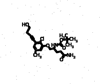 Cc1cc(C#CCCO)c(Cl)c(OCC(CCC(N)=O)NC(=O)OC(C)(C)C)c1